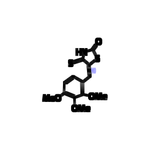 COc1ccc(/C=C2/SC(=O)NC2=S)c(OC)c1OC